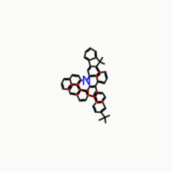 CC(C)(C)c1ccc(-c2cc(-c3ccccc3)c(N(c3ccc4c(c3)-c3ccccc3C4(C)C)c3ccc4ccccc4c3-c3cccc(-c4ccccc4)c3)c(-c3ccccc3)c2)cc1